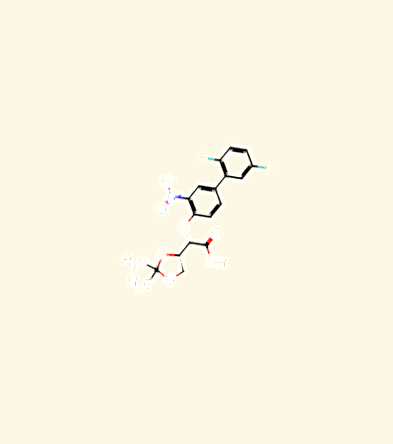 CC1(C)OC[C@H]([C@H](Oc2ccc(-c3cc(F)ccc3F)cc2[N+](=O)[O-])C(=O)O)O1